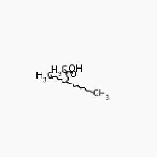 CCCCCCCCCCC(CC=C(C)C(=O)O)CCCCCC